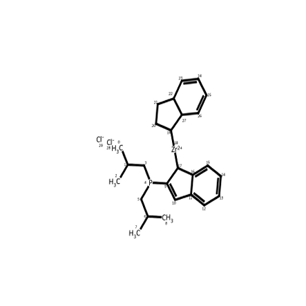 CC(C)CP(CC(C)C)C1=Cc2ccccc2[CH]1[Zr+2][CH]1CCC2C=CC=CC21.[Cl-].[Cl-]